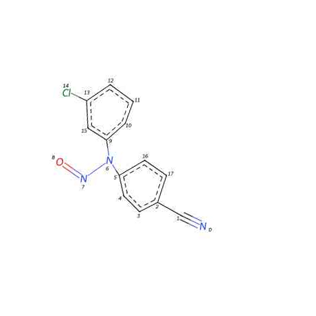 N#Cc1ccc(N(N=O)c2cccc(Cl)c2)cc1